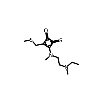 CCN(C)CCN(C)c1c(CSC)c(=O)c1=S